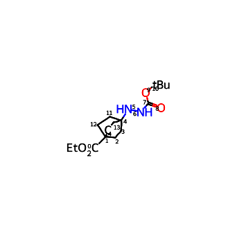 CCOC(=O)C12CCC(NNC(=O)OC(C)(C)C)(CC1)CC2